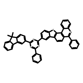 CC1(C)c2ccccc2-c2cc(-c3nc(-c4ccccc4)nc(-c4ccc5sc6c(ccc7c(-c8ccccc8)nc8ccccc8c76)c5c4)n3)ccc21